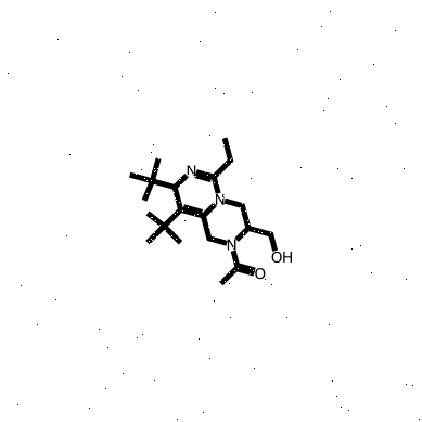 CCC1=NC(C(C)(C)C)C(C(C)(C)C)=C2CN(C(C)=O)C(CO)CN12